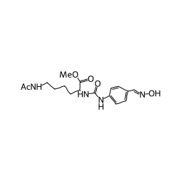 COC(=O)C(CCCCNC(C)=O)NC(=O)Nc1ccc(C=NO)cc1